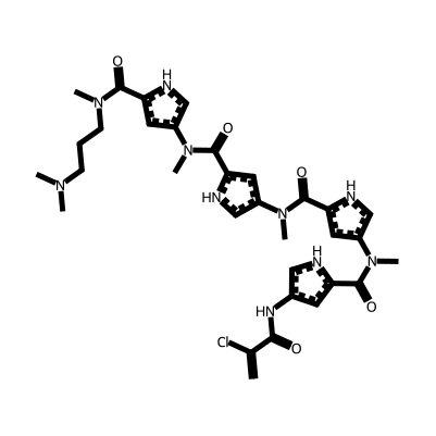 C=C(Cl)C(=O)Nc1c[nH]c(C(=O)N(C)c2c[nH]c(C(=O)N(C)c3c[nH]c(C(=O)N(C)c4c[nH]c(C(=O)N(C)CCCN(C)C)c4)c3)c2)c1